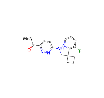 CNC(=O)c1ccc(NCC2(c3ncccc3F)CCC2)nn1